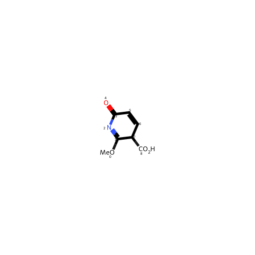 COC1=NC(=O)C=CC1C(=O)O